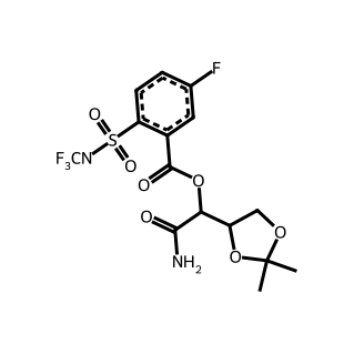 CC1(C)OCC(C(OC(=O)c2cc(F)ccc2S(=O)(=O)NC(F)(F)F)C(N)=O)O1